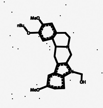 CCCCOc1cc2c(cc1OC)CCN1Cc3c(c4cc(OC)ccc4n3CO)CC21